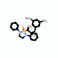 C=C(C(Cc1cc(C)cc(OC)c1)C(=O)OCC)P1(=O)N(c2ccccc2)CCN1c1ccccc1